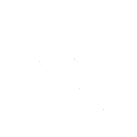 c1ccc2nc(C3CCOC3)cnc2c1